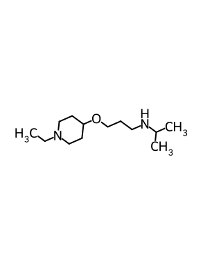 CCN1CCC(OCCCNC(C)C)CC1